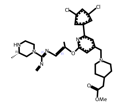 C=N/C(=N\C=C(/C)Oc1cc(CN2CCC(CC(=O)OC)CC2)cc(-c2cc(Cl)cc(Cl)c2)n1)N1CCN[C@@H](C)C1